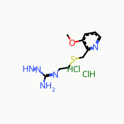 COc1cccnc1CSCC/N=C(/N)N=N.Cl.Cl